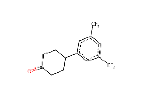 O=C1CCC(c2cc(C(F)(F)F)cc(C(F)(F)F)c2)CC1